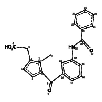 Cn1c(CC(=O)O)ccc1C(=O)c1cccc(NC(=O)c2ccccc2)c1